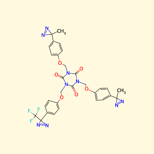 CC1(c2ccc(OCn3c(=O)n(COc4ccc(C5(C)N=N5)cc4)c(=O)n(COc4ccc(C5(C(F)(F)F)N=N5)cc4)c3=O)cc2)N=N1